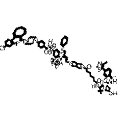 Cc1ncsc1-c1ccc([C@H](C)NC(=O)[C@@H]2C[C@@H](O)CN2C(=O)C(NC(=O)CCCCCC(=O)N2CC3CN(CCC(CSc4ccccc4)Nc4ccc(S(=O)(=O)NC(=O)c5ccc(N6CCN(CC7=C(c8ccc(Cl)cc8F)CCCCC7)CC6)cc5)cc4S(=O)(=O)C(F)(F)F)CC3C2)C(C)(C)C)cc1